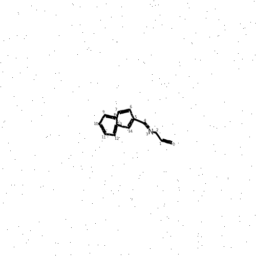 C=CCN=Cc1ccc2ccccc2c1